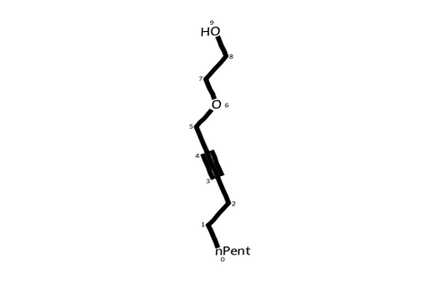 CCCCCCCC#CCOCCO